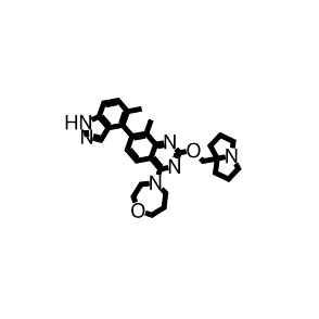 Cc1ccc2[nH]ncc2c1-c1ccc2c(N3CCCOCC3)nc(OCC34CCCN3CCC4)nc2c1C